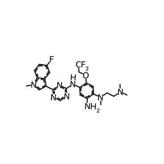 CN(C)CCN(C)c1cc(OCC(F)(F)F)c(Nc2ncnc(-c3cn(C)c4ccc(F)cc34)n2)cc1N